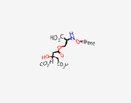 CCCCCONC(COC(=O)CC(O)(CC(=O)O)C(=O)O)C(=O)O